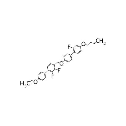 C=CCCOc1ccc(-c2ccc(OCc3ccc(-c4ccc(OCC)cc4)c(F)c3F)cc2)c(F)c1